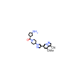 COc1cc(-c2cnn(C3CCN(C(=O)[C@H]4CC[C@@H](N)C4)CC3)c2)cn2ncc(C#N)c12